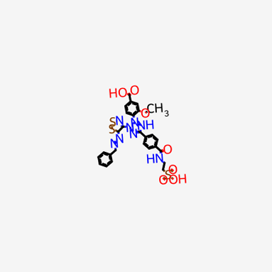 COc1cc(C(=O)O)ccc1N1NC(c2ccc(C(=O)NCCS(=O)(=O)O)cc2)=NN1C1=NSSC1N=NCc1ccccc1